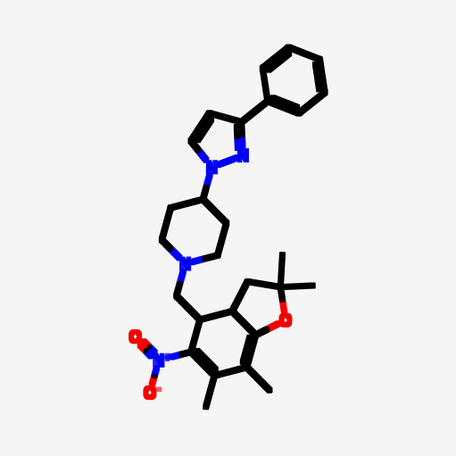 CC1=C2OC(C)(C)CC2C(CN2CCC(n3ccc(-c4ccccc4)n3)CC2)C([N+](=O)[O-])=C1C